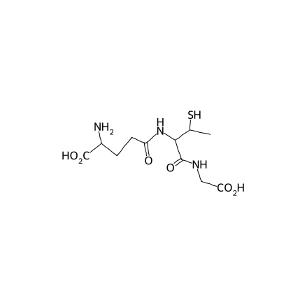 CC(S)C(NC(=O)CCC(N)C(=O)O)C(=O)NCC(=O)O